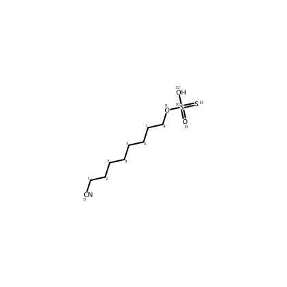 N#CCCCCCCCCOS(=O)(O)=S